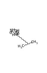 CCCCC(CCCC)CCCCCCCCCCC(=O)NC(CCC(N)=O)C(=O)O